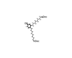 CCCCCCCCCCCCCCCCCCc1cc[n+](CC)cc1CCCCCCCCCCCCCCCCCC